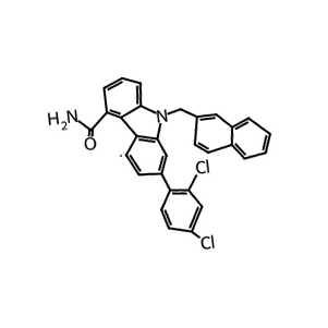 NC(=O)c1cccc2c1c1[c]cc(-c3ccc(Cl)cc3Cl)cc1n2Cc1ccc2ccccc2c1